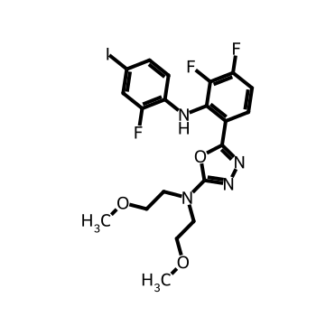 COCCN(CCOC)c1nnc(-c2ccc(F)c(F)c2Nc2ccc(I)cc2F)o1